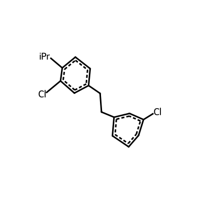 CC(C)c1ccc(CCc2cccc(Cl)c2)cc1Cl